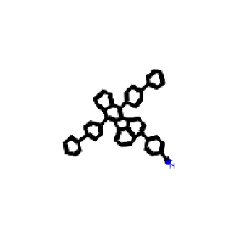 N#Cc1ccc(-c2ccc3c4c(cccc24)-c2c-3c(-c3ccc(-c4ccccc4)cc3)c3ccccc3c2-c2ccc(-c3ccccc3)cc2)cc1